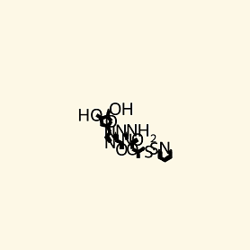 CC(CSSc1ccccn1)OC(=O)n1c(N)nc2c(ncn2C2CC(O)C(CO)O2)c1=O